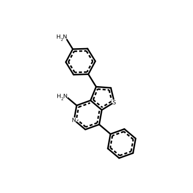 Nc1ccc(-c2csc3c(-c4ccccc4)cnc(N)c23)cc1